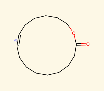 O=C1CCCCCCC/C=C\CCCCCO1